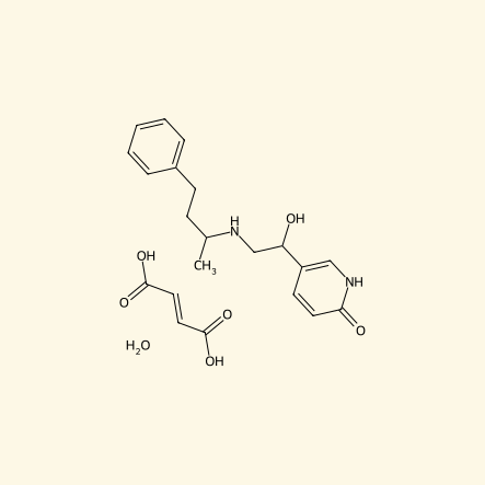 CC(CCc1ccccc1)NCC(O)c1ccc(=O)[nH]c1.O.O=C(O)/C=C/C(=O)O